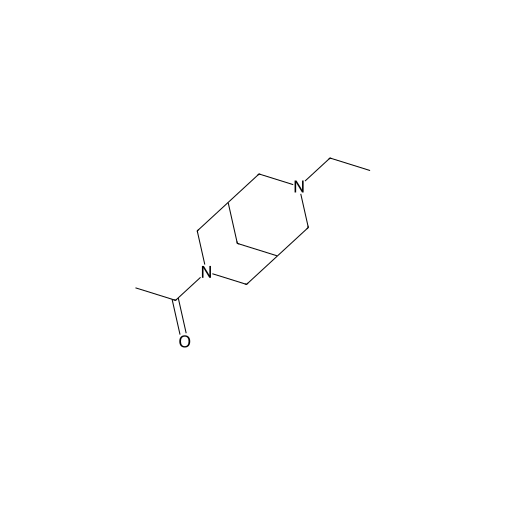 CCN1CC2CC(C1)CN(C(C)=O)C2